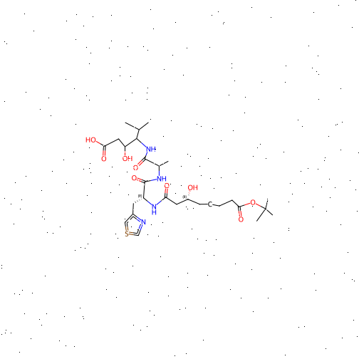 CC(NC(=O)[C@@H](Cc1cscn1)NC(=O)C[C@H](O)CCCCC(=O)OC(C)(C)C)C(=O)NC(C(C)C)C(O)CC(=O)O